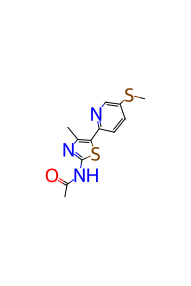 CSc1ccc(-c2sc(NC(C)=O)nc2C)nc1